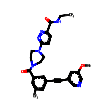 CCOc1cncc(C#Cc2cc(C(=O)N3CCN(c4ccc(C(=O)NCC(F)(F)F)nn4)CC3)cc(C(F)(F)F)c2)c1